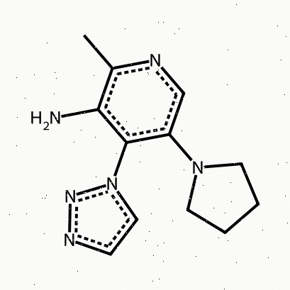 Cc1ncc(N2CCCC2)c(-n2ccnn2)c1N